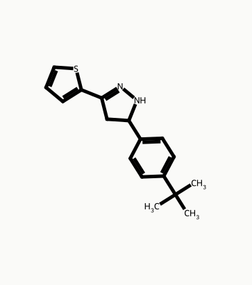 CC(C)(C)c1ccc(C2CC(c3cccs3)=NN2)cc1